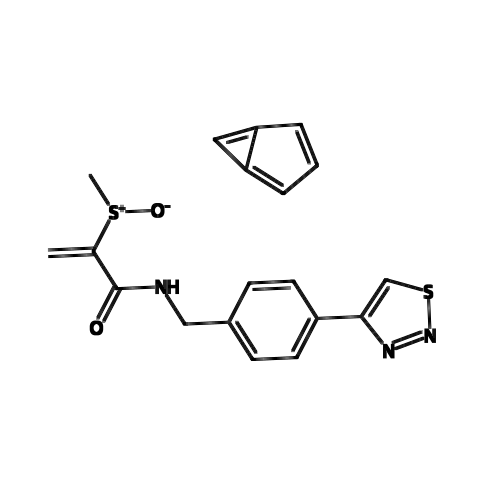 C=C(C(=O)NCc1ccc(-c2csnn2)cc1)[S+](C)[O-].c1cc2cc-2c1